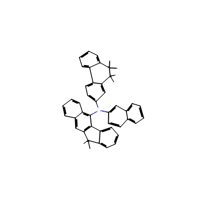 CC1(C)c2ccccc2-c2c1cc1ccccc1c2N(c1ccc2c(c1)C(C)(C)C(C)(C)c1ccccc1-2)c1ccc2ccccc2c1